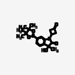 CC1(O)C(=O)N(C2CC(=O)C2)c2cc(B3OC(C)(C)C(C)(C)O3)ccc21